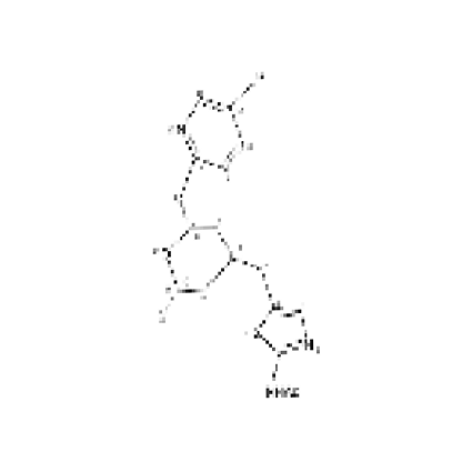 CC(=O)Nc1ncc(CN2C[C@@H](Cc3ncc(F)cn3)O[C@@H](C)C2)s1